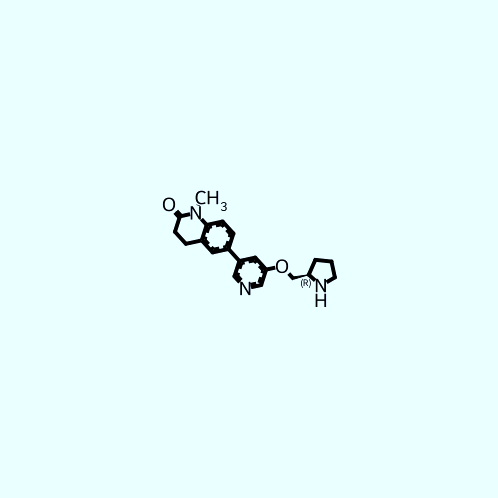 CN1C(=O)CCc2cc(-c3cncc(OC[C@H]4CCCN4)c3)ccc21